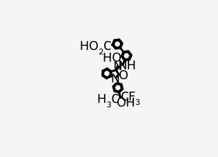 CC(O)(c1ccc(N2C(=O)C(=NNc3cccc(-c4cccc(C(=O)O)c4)c3O)c3ccccc32)cc1)C(F)(F)F